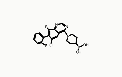 OB(O)C1CCN(c2ncnc3c(F)c(-c4ccccc4F)c(Cl)cc23)CC1